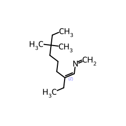 C=N/C=C(/CC)CCCC(C)(C)CC